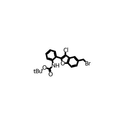 CC(C)(C)OC(=O)Nc1ccccc1-c1oc2ccc(CBr)cc2c1Cl